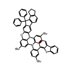 CC(C)(C)c1ccc2c(c1)B1c3cc4c(cc3Oc3cc(C(C)(C)C)cc(c31)N2c1ccc(C(C)(C)C)cc1-c1cccc2c1sc1ccccc12)C(c1ccccc1)(c1ccccc1)c1c-4ccc2c1CCC2